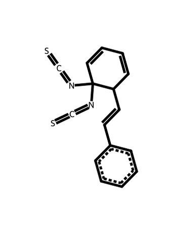 S=C=NC1(N=C=S)C=CC=CC1C=Cc1ccccc1